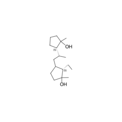 CC[C@H]1C(CC(C)[C@@H]2CCCC2(C)O)CCC1(C)O